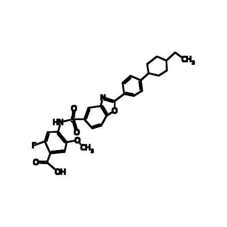 CCC1CCC(c2ccc(-c3nc4cc(S(=O)(=O)Nc5cc(F)c(C(=O)O)cc5OC)ccc4o3)cc2)CC1